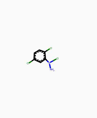 NN(Cl)c1cc(Cl)ccc1Cl